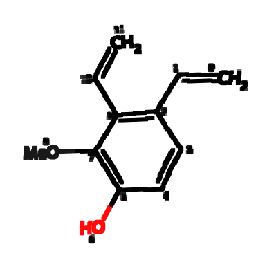 C=Cc1ccc(O)c(OC)c1C=C